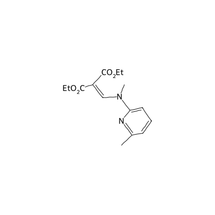 CCOC(=O)C(=CN(C)c1cccc(C)n1)C(=O)OCC